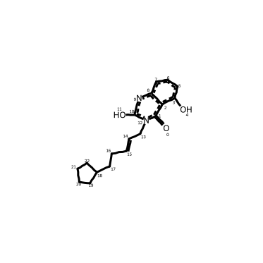 O=c1c2c(O)cccc2nc(O)n1C/C=C/CCC1CCCC1